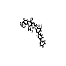 Nc1nc(Nc2ccc(N3CCC(N4CCCCC4)CC3)cc2)sc1C(=O)c1ccc2c(c1)OCO2